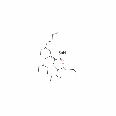 CCCCC(CC)CC(CC(CC)CCCC)=C(CC(CC)CCCC)[C](=O)[SnH]